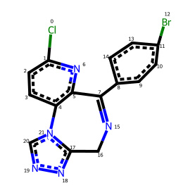 Clc1ccc2c(n1)C(c1ccc(Br)cc1)=NCc1nncn1-2